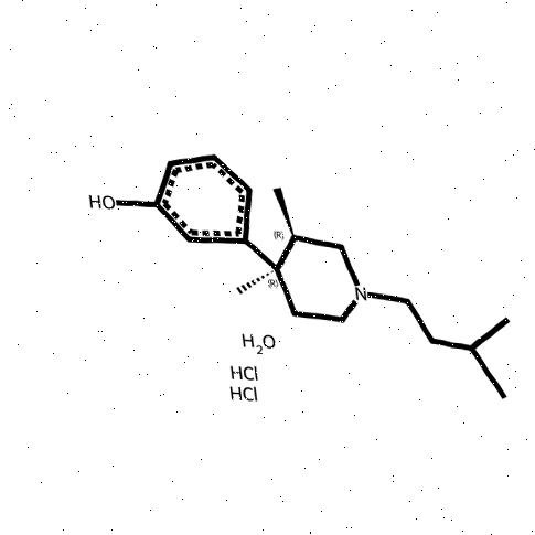 CC(C)CCN1CC[C@@](C)(c2cccc(O)c2)[C@@H](C)C1.Cl.Cl.O